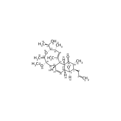 C=CC[C@H]1[C@@H]2O[C@@]34/C(C)=C/[C@@H](C)[C@@H]([C@@H](C)O)OC(=C)[C@@H](OC)C[C@H]3C=C[C@@H]2[C@H]4C(=O)[C@@H]1C